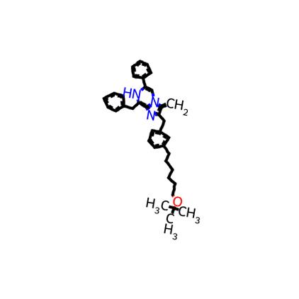 C=c1c(Cc2cccc(CCCCCCOC(C)(C)C)c2)nc2n1C=C(c1ccccc1)NC=2Cc1ccccc1